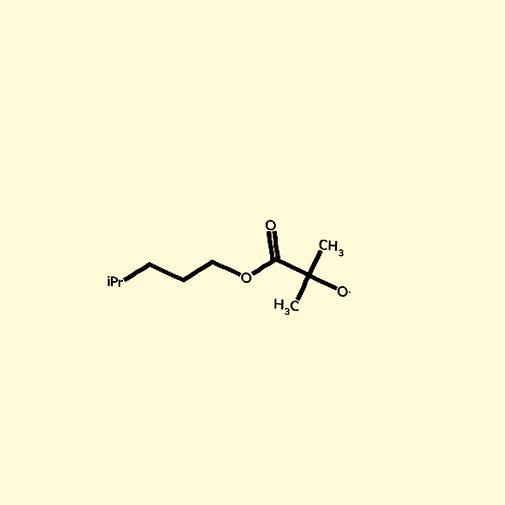 CC(C)CCCOC(=O)C(C)(C)[O]